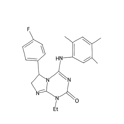 CCN1C(=O)N=C(Nc2cc(C)c(C)cc2C)N2C1=NCC2c1ccc(F)cc1